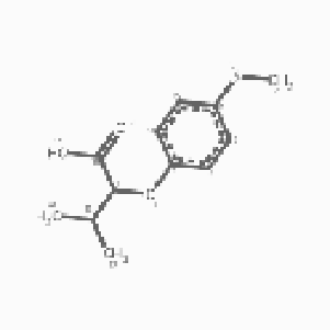 CSc1ccc(OC(C(=O)O)C(C)C)cc1